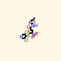 Cc1cnc(NC(=O)c2cc([N+](=O)[O-])c(Sc3c(Cl)cncc3Cl)s2)s1